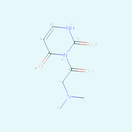 CN(C)CC(=O)n1c(=O)cc[nH]c1=O